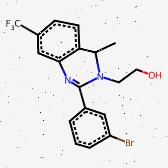 CC1c2ccc(C(F)(F)F)cc2N=C(c2cccc(Br)c2)N1CCO